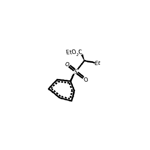 CCOC(=O)[C@@H](CC)S(=O)(=O)c1ccccc1